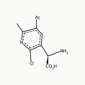 CC(=O)c1cc([C@@H](N)C(=O)O)c(Cl)nc1C